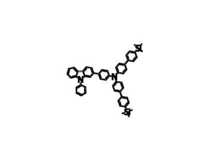 C[Si](C)(C)c1ccc(-c2ccc(N(c3ccc(-c4ccc([Si](C)(C)C)cc4)cc3)c3ccc(-c4ccc5c6ccccc6n(-c6ccccc6)c5c4)cc3)cc2)cc1